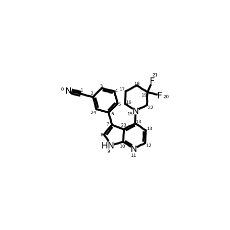 N#Cc1cccc(-c2c[nH]c3nccc(N4CCCC(F)(F)C4)c23)c1